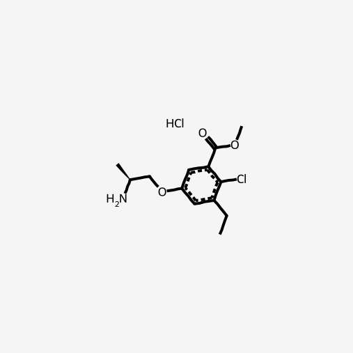 CCc1cc(OC[C@H](C)N)cc(C(=O)OC)c1Cl.Cl